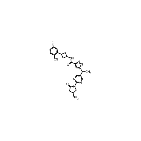 CC(c1cnc(N2CC(N)CC2=O)nc1)n1cc(C(=O)NC2CC(c3cc(Cl)ccc3C#N)C2)nn1